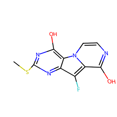 CSc1nc(O)c2c(n1)c(F)c1c(O)nccn12